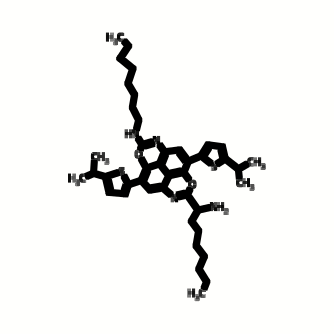 CCCCCCCCNC1=Nc2cc(-c3ccc(C(C)C)s3)c3c4c(cc(-c5ccc(C(C)C)s5)c(c24)O1)N=C(C(N)CCCCCCC)O3